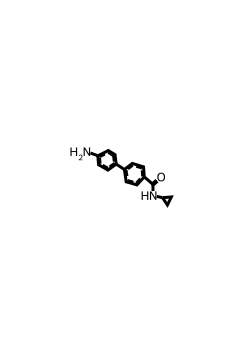 Nc1ccc(-c2ccc(C(=O)NC3CC3)cc2)cc1